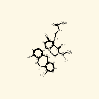 COC(=O)OCOc1c2n(ccc1=O)N([C@H]1c3cccc(F)c3CSc3c(C)cccc31)CN([C@H](C)C(F)(F)F)C2=O